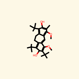 COC1=C(C(C)(C)C)C(O)C(C(C)(C)C)=C2CCc3c(c(OC)c(C)c(O)c3C(C)(C)C)C=C21